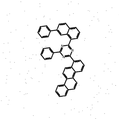 c1ccc(-c2ccc3cccc(-c4nc(-c5ccccc5)nc(-c5cccc6c5ccc5c7ccccc7ccc65)n4)c3c2)cc1